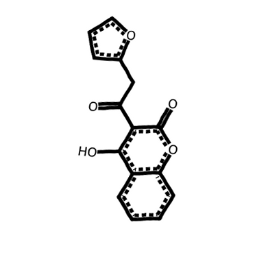 O=C(Cc1ccco1)c1c(O)c2ccccc2oc1=O